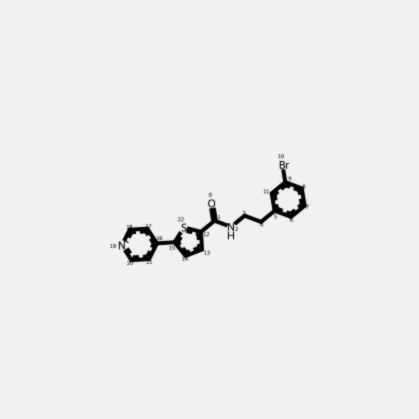 O=C(NCCc1cccc(Br)c1)c1ccc(-c2ccncc2)s1